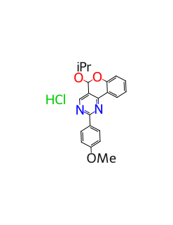 COc1ccc(-c2ncc3c(n2)-c2ccccc2OC3OC(C)C)cc1.Cl